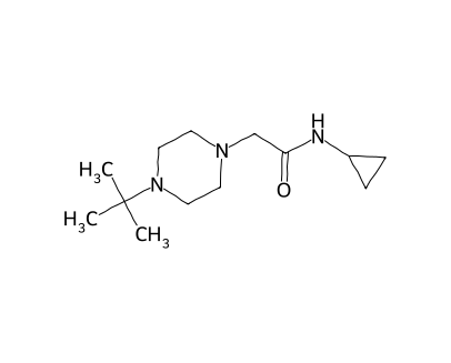 CC(C)(C)N1CCN(CC(=O)NC2CC2)CC1